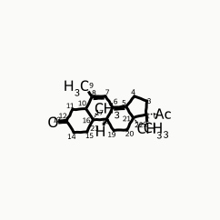 CC(=O)[C@@]1(C)CCC2=C3C=C(C)C4CC(=O)CC[C@]4(C)[C@H]3CC[C@@]21C